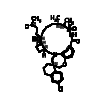 C[C@@H]1[C@@H](C)CCC[C@@](O)(CC[S+](C)[O-])[C@@H]2CC[C@H]2CN2C[C@@]3(CCCc4cc(Cl)ccc43)COc3ccc(cc32)C(=O)NS1(=O)=O